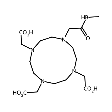 CBC(=O)CN1CCN(CC(=O)O)CCN(CC(=O)O)CCN(CC(=O)O)CC1